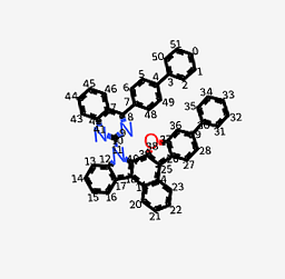 c1ccc(-c2ccc(-c3nc(-n4c5ccccc5c5c6ccccc6c6c7ccc(-c8ccccc8)cc7oc6c54)nc4ccccc34)cc2)cc1